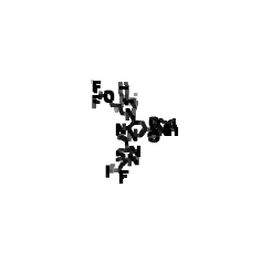 C[C@@H]1CN(c2cc(S(=O)(=O)NC3(C)CC3)cn3c(-c4nnc(C(F)F)s4)cnc23)C[C@@H](COC(F)F)N1